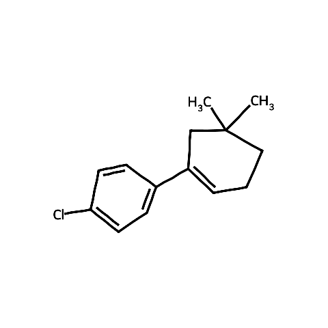 CC1(C)CCC=C(c2ccc(Cl)cc2)C1